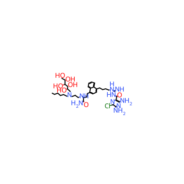 CCCCCCN(CCCNC(CCc1ccc(CCCCNC(=N)NC(=O)c2nc(Cl)c(N)nc2N)c2ccccc12)C(N)=O)CC(O)C(O)C(O)C(O)CO